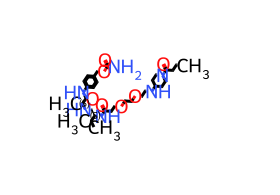 CCCC(=O)N1CCC(NCCOCCOCCC(=O)N[C@H](CN[C@@H](C)C(=O)Nc2ccc(COC(N)=O)cc2)C(C)C)CC1